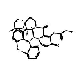 CC(C)CC(=O)Oc1c2n(ccc1=O)N([C@@H]1c3ccccc3SCc3cccc(F)c31)[C@@H]1[C@H]3C[C@@H]4CC[C@@]3(CCN1C2=O)O4